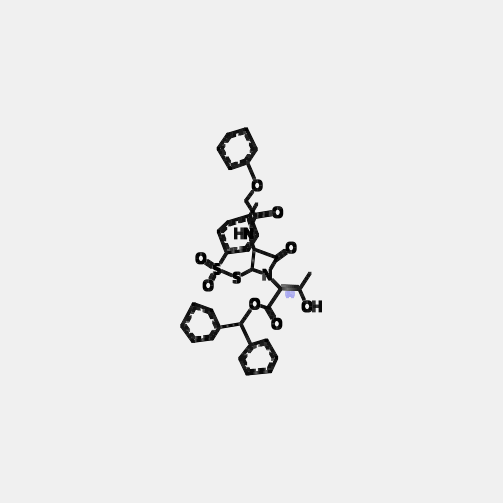 C/C(O)=C(/C(=O)OC(c1ccccc1)c1ccccc1)N1C(=O)C(NC(=O)COc2ccccc2)C1SS(=O)(=O)c1ccc(C)cc1